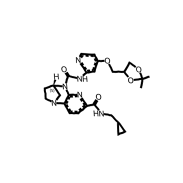 CC1(C)OCC(COc2ccnc(NC(=O)N3c4nc(C(=O)NCC5CC5)ccc4N4CC[C@H]3C4)c2)O1